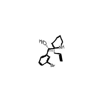 C=CC[C@]1([C@@H](O)c2cccc(Br)c2)CCCCN1